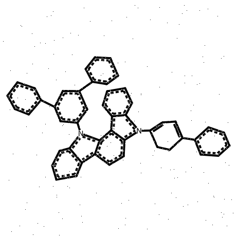 C1=C(c2ccccc2)CCC(n2c3ccccc3c3c2ccc2c4ccccc4n(-c4cc(-c5ccccc5)cc(-c5ccccc5)c4)c23)=C1